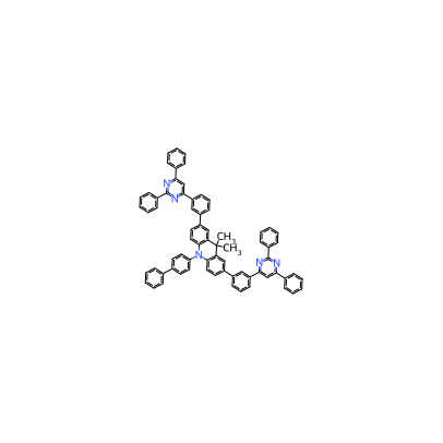 CC1(C)c2cc(-c3cccc(-c4cc(-c5ccccc5)nc(-c5ccccc5)n4)c3)ccc2N(c2ccc(-c3ccccc3)cc2)c2ccc(-c3cccc(-c4cc(-c5ccccc5)nc(-c5ccccc5)n4)c3)cc21